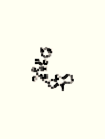 CN(c1ccc(CNC(=O)C2(NC(=O)Oc3cncnc3)CC2)cc1)c1ccccc1Cl